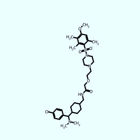 COc1cc(C)c(S(=O)(=O)N2CCN(CCOCC(=O)NCC3CCC(C(c4ccc(Cl)cc4)N(C)C)CC3)CC2)c(C)c1C